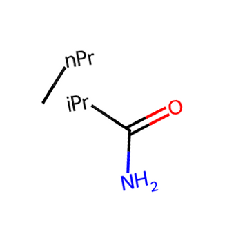 CC(C)C(N)=O.CCCC